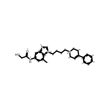 Cc1cc(NC(=O)CS)cc2ncn(CCCCN3CC=C(c4ccccc4)CC3)c12